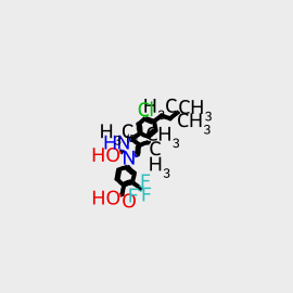 CC(C)C1=CN(c2ccc(C(=O)O)c(C(F)(F)F)c2)C(O)N[C@@]1(C)c1ccc(CCC(C)(C)C)c(Cl)c1